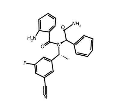 C[C@H](c1cc(F)cc(C#N)c1)N(C(=O)c1ccccc1N)[C@@H](C(N)=O)c1ccccc1